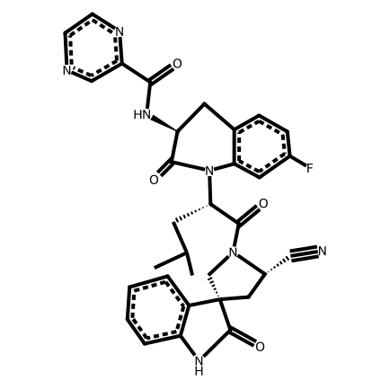 CC(C)C[C@@H](C(=O)N1C[C@]2(C[C@H]1C#N)C(=O)Nc1ccccc12)N1C(=O)[C@@H](NC(=O)c2cnccn2)Cc2ccc(F)cc21